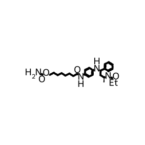 CCC(=O)N1c2ccccc2[C@H](Nc2ccc(NC(=O)CCCCCCCOC(N)=O)cc2)C[C@@H]1C